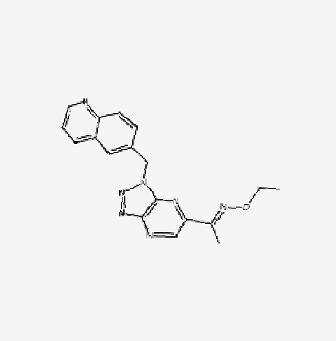 CCON=C(C)c1cnc2nnn(Cc3ccc4ncccc4c3)c2n1